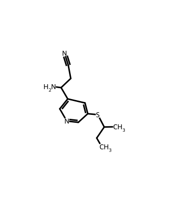 CCC(C)Sc1cncc(C(N)CC#N)c1